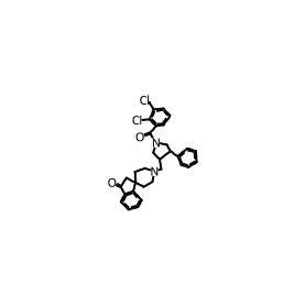 O=C1CC2(CCN(CC3CN(C(=O)c4cccc(Cl)c4Cl)CC3c3ccccc3)CC2)c2ccccc21